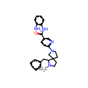 Nc1ccccc1NC(=O)c1ccc(N2CCC3(CCN(C(=O)O)C3Cc3ccccc3)C2)nc1